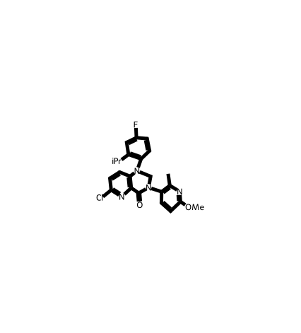 COc1ccc(N2CN(c3ccc(F)cc3C(C)C)c3ccc(Cl)nc3C2=O)c(C)n1